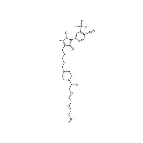 COCCOCCOCC(=O)N1CCN(CCCCCC2=C(C)C(=O)N(c3ccc(C#N)c(C(F)(F)F)c3)C2=O)CC1